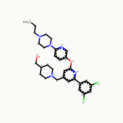 CCOC(=O)CCN1CCN(c2ccc(Oc3cc(CN4CCC(CO)CC4)cc(-c4cc(Cl)cc(Cl)c4)n3)cn2)CC1